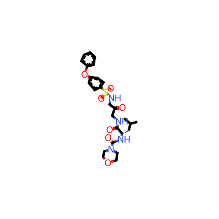 CC(C)C[C@H](NC(=O)N1CCOCC1)C(=O)NCC(=O)CNS(=O)(=O)c1ccc(Oc2ccccc2)cc1